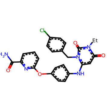 CCn1c(=O)cc(Nc2ccc(Oc3cccc(C(N)=O)n3)cc2)n(Cc2ccc(Cl)cc2)c1=O